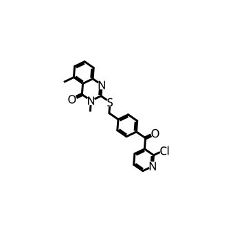 Cc1cccc2nc(SCc3ccc(C(=O)c4cccnc4Cl)cc3)n(C)c(=O)c12